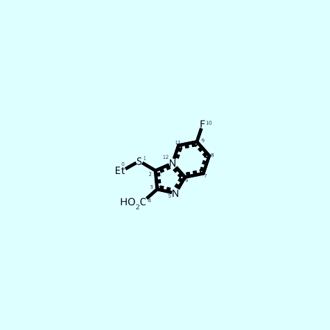 CCSc1c(C(=O)O)nc2ccc(F)cn12